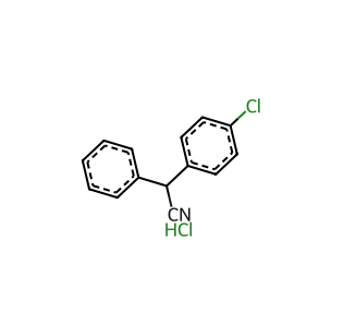 Cl.N#CC(c1ccccc1)c1ccc(Cl)cc1